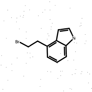 BrCCc1cccc2c1C=C[N]2